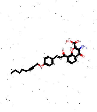 CCCCCC#CCOc1ccc(C=CC(=O)c2cccc3c(=O)c(N)c(C(=O)O)oc23)cc1